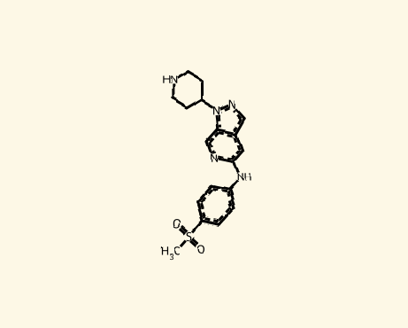 CS(=O)(=O)c1ccc(Nc2cc3cnn(C4CCNCC4)c3cn2)cc1